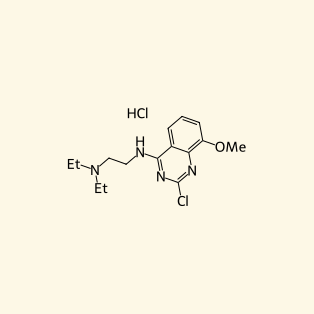 CCN(CC)CCNc1nc(Cl)nc2c(OC)cccc12.Cl